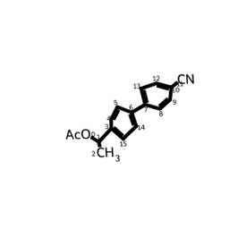 CC(=O)OC(C)c1ccc(-c2ccc(C#N)cc2)cc1